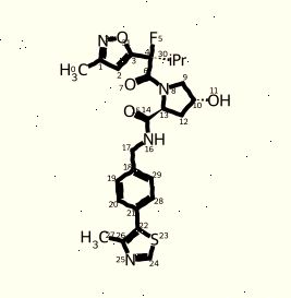 Cc1cc([C@@](F)(C(=O)N2C[C@H](O)C[C@H]2C(=O)NCc2ccc(-c3scnc3C)cc2)C(C)C)on1